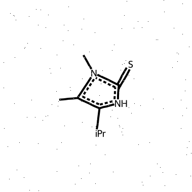 Cc1c(C(C)C)[nH]c(=S)n1C